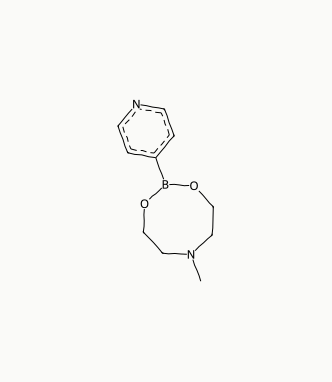 CN1CCOB(c2ccncc2)OCC1